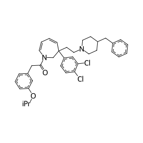 CC(C)Oc1cccc(CC(=O)N2C=CC=CC(CCN3CCC(Cc4ccccc4)CC3)(c3ccc(Cl)c(Cl)c3)C2)c1